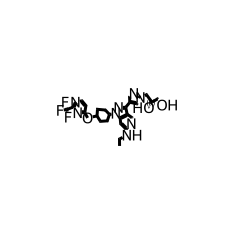 CCNc1cc2c(cn1)c(-c1cnn(C[C@@H](O)CO)c1)nn2C1CCC(Oc2ccnc(C(F)(F)F)n2)CC1